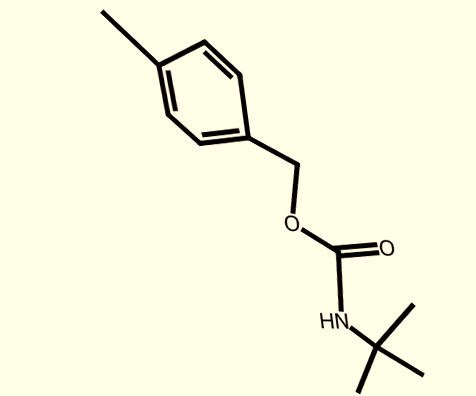 Cc1ccc(COC(=O)NC(C)(C)C)cc1